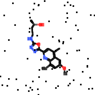 CCOc1cc(C(C)(C)C)c2nc(-c3nnc(NCC[C@@H](C)O)o3)cc(C)c2c1